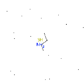 CCCC.NS